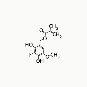 C=C(C)C(=O)OCc1cc(OC)c(O)c(I)c1O